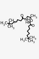 CC(CNC(=O)CCCCCC(C)(C)C)ONC(=O)CCCCCC(C)(C)C